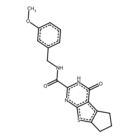 COc1cccc(CNC(=O)c2nc3sc4c(c3c(=O)[nH]2)CCC4)c1